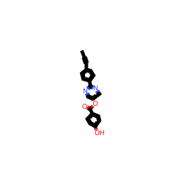 CC#Cc1ccc(-c2ncc(OC(=O)c3ccc(O)cc3)cn2)cc1